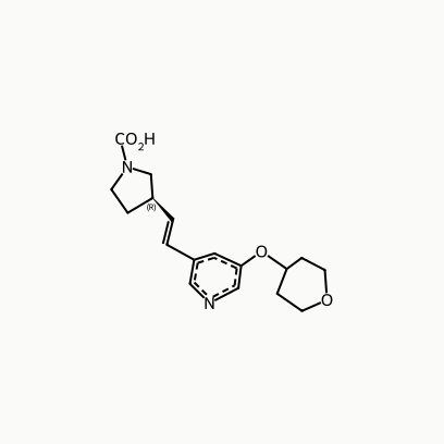 O=C(O)N1CC[C@H](C=Cc2cncc(OC3CCOCC3)c2)C1